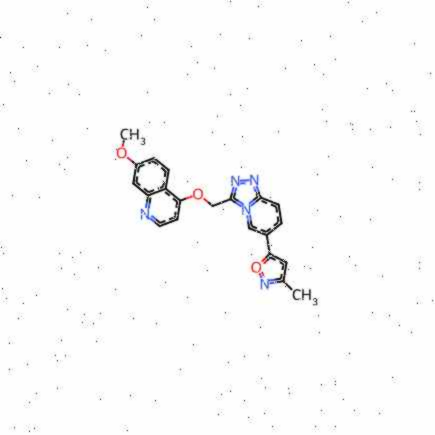 COc1ccc2c(OCc3nnc4ccc(-c5cc(C)no5)cn34)ccnc2c1